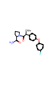 COC(C(=O)N1CCCC1C(N)=O)c1ccc(Oc2ccc(F)cc2)cc1